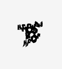 Cc1ccc(F)c(-c2ccc(CO)cc2-c2nncn2C(C)C)c1